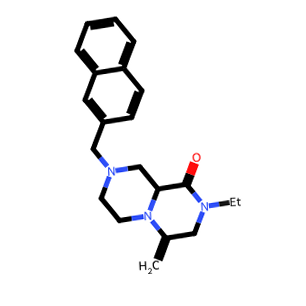 C=C1CN(CC)C(=O)C2CN(Cc3ccc4ccccc4c3)CCN12